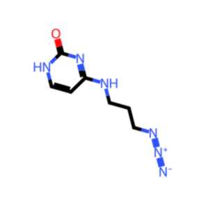 [N-]=[N+]=NCCCNc1cc[nH]c(=O)n1